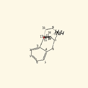 c1ccc2c(c1)CC1NCC[C@@]23CCCC[C@@H]13